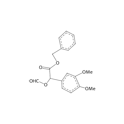 COc1ccc(C(O[C]=O)C(=O)OCc2ccccc2)cc1OC